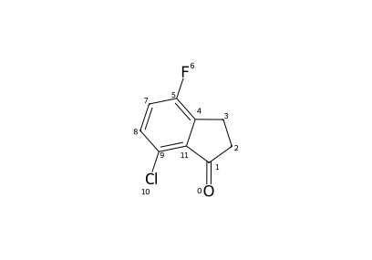 O=C1CCc2c(F)ccc(Cl)c21